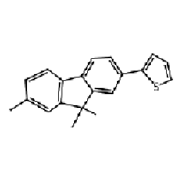 Cc1ccc2c(c1)C(C)(C)c1cc(-c3cccs3)ccc1-2